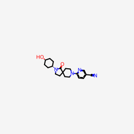 N#Cc1ccc(N2CCC3(CC2)CCN([C@H]2CC[C@H](O)CC2)C3=O)nc1